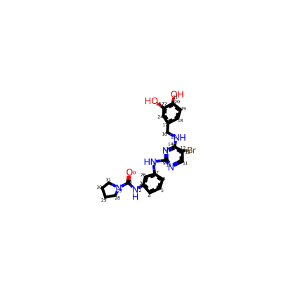 O=C(Nc1cccc(Nc2ncc(Br)c(NCc3ccc(O)c(O)c3)n2)c1)N1CCCC1